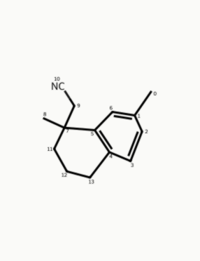 Cc1ccc2c(c1)C(C)(CC#N)CCC2